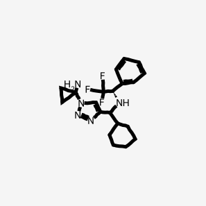 NC1(n2cc(C(N[C@@H](c3ccccc3)C(F)(F)F)C3CCCCC3)nn2)CC1